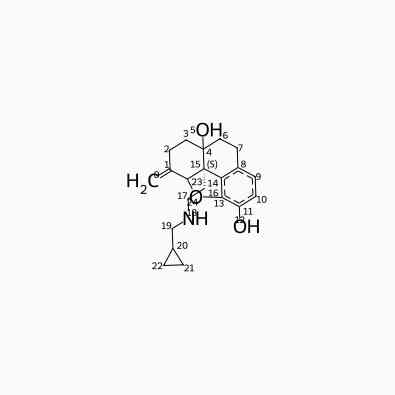 C=C1CCC2(O)CCc3ccc(O)c4c3[C@@]2(CCNCC2CC2)C1O4